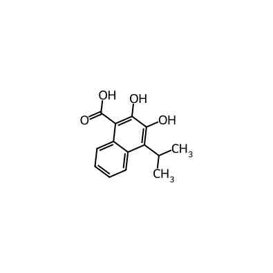 CC(C)c1c(O)c(O)c(C(=O)O)c2ccccc12